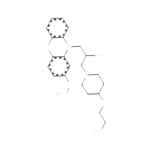 COc1ccc2c(c1)N(CC(C)CN1CCC(OCCO)CC1)c1ccccc1S2